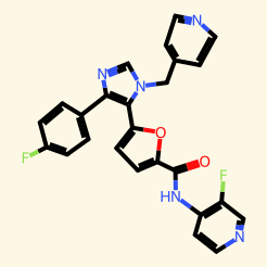 O=C(Nc1ccncc1F)c1ccc(-c2c(-c3ccc(F)cc3)ncn2Cc2ccncc2)o1